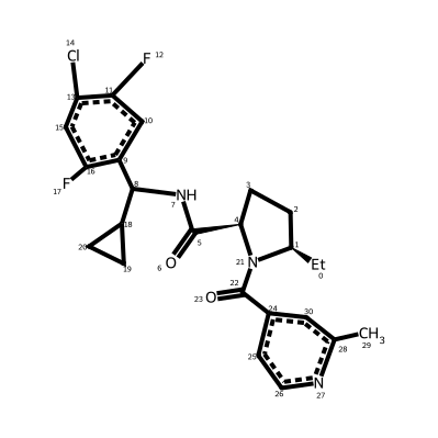 CC[C@@H]1CC[C@H](C(=O)NC(c2cc(F)c(Cl)cc2F)C2CC2)N1C(=O)c1ccnc(C)c1